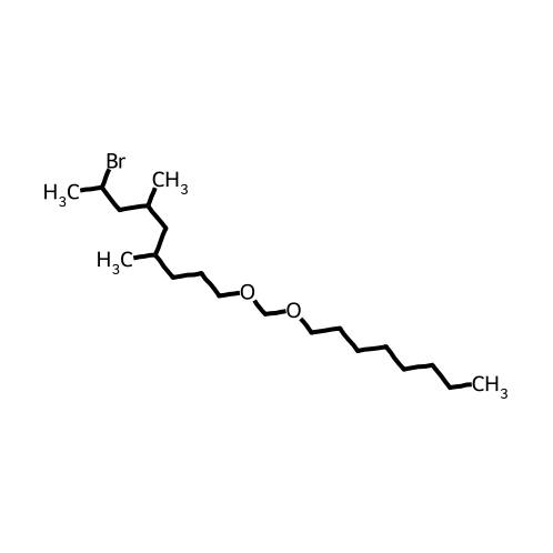 CCCCCCCCOCOCCCC(C)CC(C)CC(C)Br